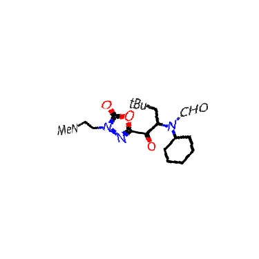 CNCCn1nc(C(=O)C(CC(C)(C)C)N(C=O)C2CCCCC2)oc1=O